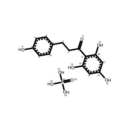 O=C(CCc1ccc(O)cc1)c1c(O)cc(O)cc1O.O=P(O)(O)O